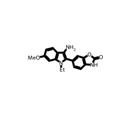 CCn1c(-c2ccc3[nH]c(=O)oc3c2)c(N)c2ccc(OC)cc21